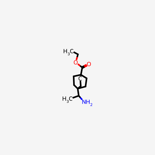 CCOC(=O)C12CCC(C(C)N)(CC1)CC2